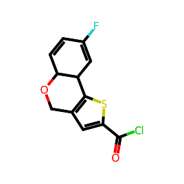 O=C(Cl)c1cc2c(s1)C1C=C(F)C=CC1OC2